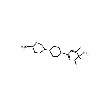 CC1CCC(C2CCC(C3=CC(F)C(C)(F)C(F)=C3)CC2)CC1